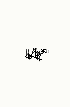 O=C(O)CCCN(c1ncc(C(F)(F)F)cn1)N(CCCCc1ccc2c(n1)NCCC2)C1CC1